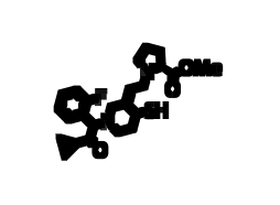 COC(=O)[C@@H]1CCCN1CC=C1CN(C(C(=O)C2CC2)c2ccccc2F)CCC1S